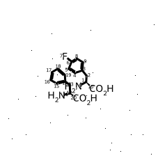 N[C@@H](Cc1ccc(F)cc1)C(=O)O.N[C@@H](Cc1ccccc1)C(=O)O